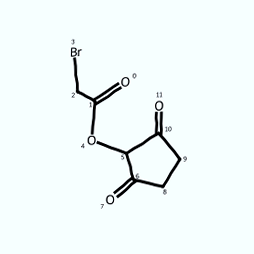 O=C(CBr)OC1C(=O)CCC1=O